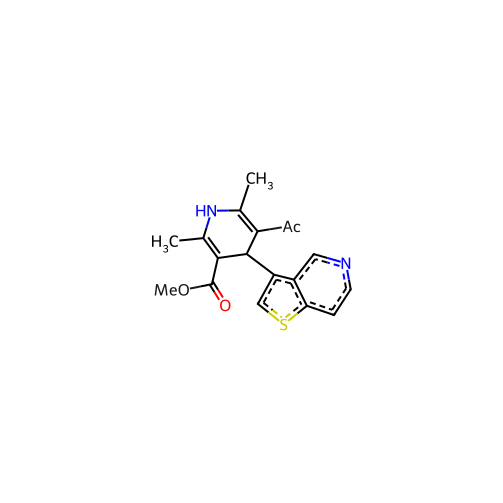 COC(=O)C1=C(C)NC(C)=C(C(C)=O)C1c1csc2ccncc12